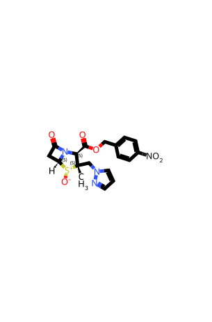 C[C@]1(Cn2cccn2)[C@H](C(=O)OCc2ccc([N+](=O)[O-])cc2)N2C(=O)C[C@@H]2[S+]1[O-]